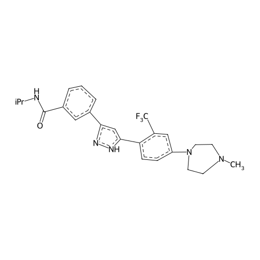 CC(C)NC(=O)c1cccc(-c2cc(-c3ccc(N4CCN(C)CC4)cc3C(F)(F)F)[nH]n2)c1